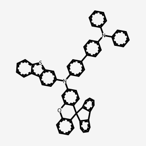 c1ccc(N(c2ccccc2)c2ccc(-c3ccc(N(c4ccc5c(c4)Oc4ccccc4C54c5ccccc5-c5ccccc54)c4ccc5c(c4)sc4ccccc45)cc3)cc2)cc1